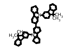 CC1(C)c2ccccc2-c2cc(-n3c4ccccc4c4ccc(-c5ccc6c7ccccc7n(-c7ccc8c(c7)-c7ccccc7C8(C)C)c6c5)cc43)ccc21